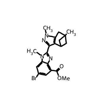 COC(=O)c1cc(Br)cc2c1nc(-c1nn(C)c3c1C1CC(C)(C3)C1)n2C